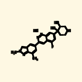 Cc1cc(-c2cc3c(F)cc(C4(O)CCNCC4O)cc3nn2)cc2cn(C)nc12.Cl